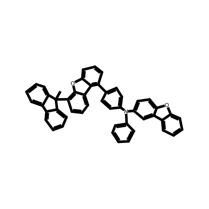 CC1(c2cccc3c2oc2cccc(-c4ccc(N(c5ccccc5)c5ccc6oc7ccccc7c6c5)cc4)c23)c2ccccc2-c2ccccc21